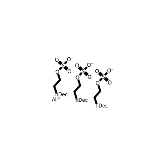 CCCCCCCCCCCCOS(=O)(=O)[O-].CCCCCCCCCCCCOS(=O)(=O)[O-].CCCCCCCCCCCCOS(=O)(=O)[O-].[Al+3]